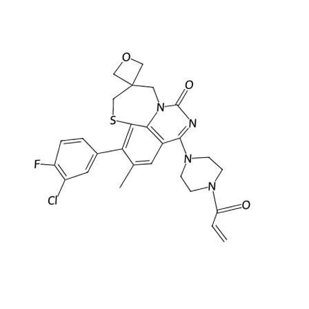 C=CC(=O)N1CCN(c2nc(=O)n3c4c(c(-c5ccc(F)c(Cl)c5)c(C)cc24)SCC2(COC2)C3)CC1